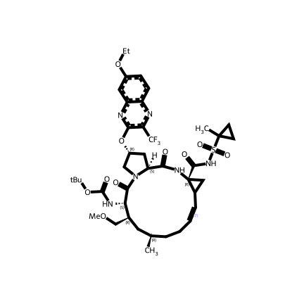 CCOc1ccc2nc(C(F)(F)F)c(O[C@@H]3C[C@H]4C(=O)N[C@]5(C(=O)NS(=O)(=O)C6(C)CC6)CC5/C=C\CC[C@@H](C)C[C@@H](COC)[C@H](NC(=O)OC(C)(C)C)C(=O)N4C3)nc2c1